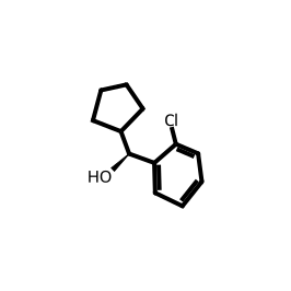 O[C@H](c1ccccc1Cl)C1CCCC1